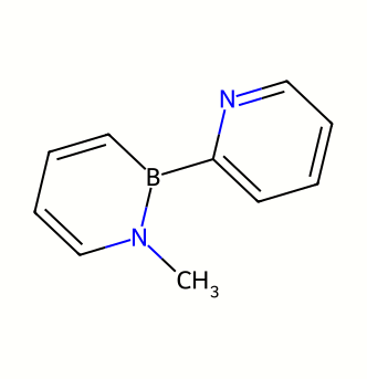 CN1C=CC=CB1c1ccccn1